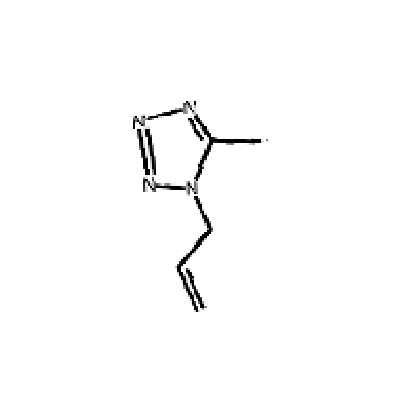 [CH2]c1nnnn1CC=C